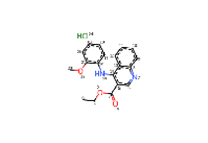 CCOC(=O)c1cnc2ccccc2c1Nc1ccccc1OC.Cl